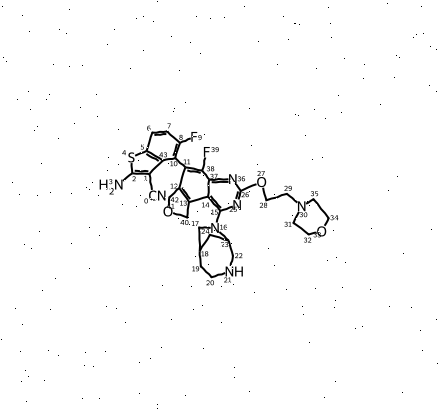 N#Cc1c(N)sc2ccc(F)c(-c3c4c(c5c(N6CC7CCNCC6C7)nc(OCCN6CCOCC6)nc5c3F)COC4)c12